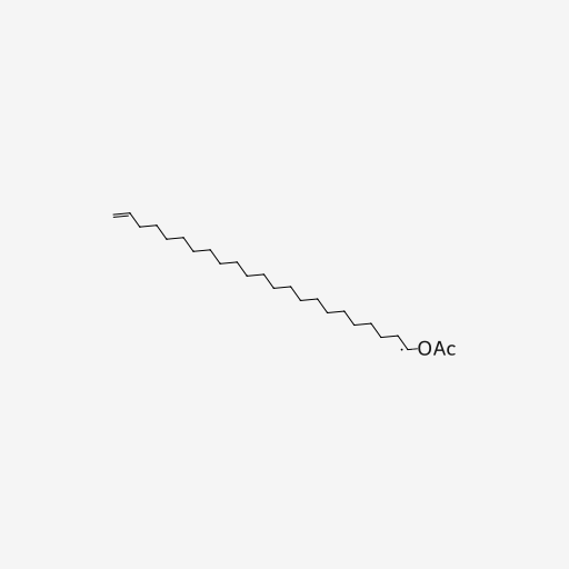 C=CCCCCCCCCCCCCCCCCCCCC[CH]OC(C)=O